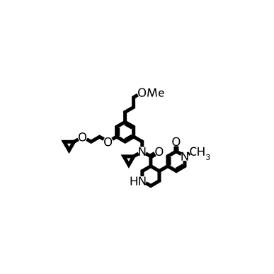 COCCCc1cc(CN(C(=O)C2CNCCC2c2ccn(C)c(=O)c2)C2CC2)cc(OCCOC2CC2)c1